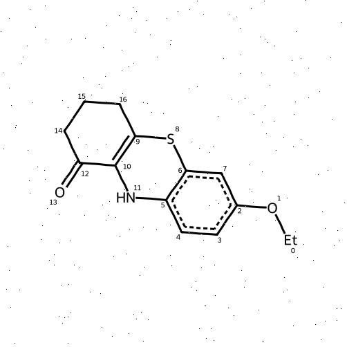 CCOc1ccc2c(c1)SC1=C(N2)C(=O)CCC1